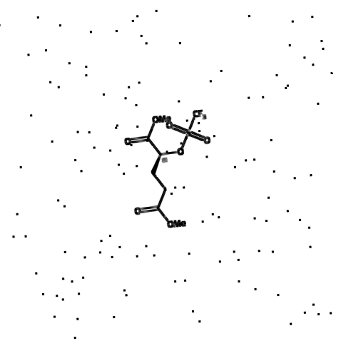 COC(=O)CC[C@H](OS(=O)(=O)C(F)(F)F)C(=O)OC